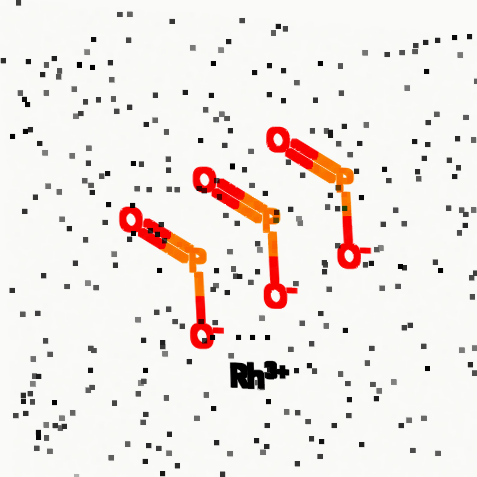 O=P[O-].O=P[O-].O=P[O-].[Rh+3]